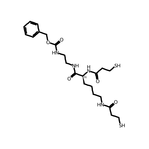 O=C(CCS)NCCCC[C@H](NC(=O)CCS)C(=O)NCCNC(=O)OCc1ccccc1